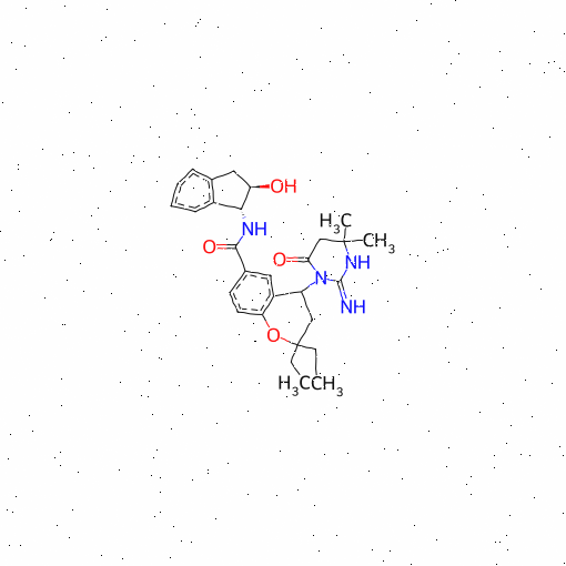 CCC1(CC)CC(N2C(=N)NC(C)(C)CC2=O)c2cc(C(=O)N[C@@H]3c4ccccc4C[C@H]3O)ccc2O1